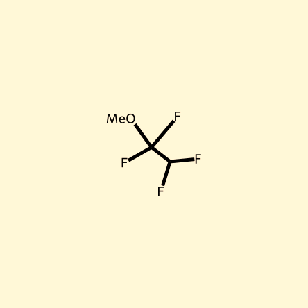 [CH2]OC(F)(F)C(F)F